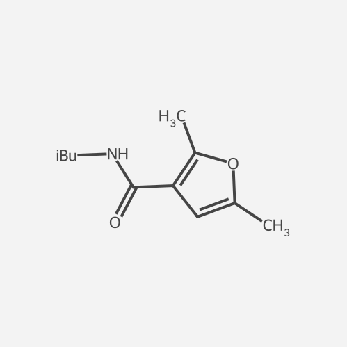 CCC(C)NC(=O)c1cc(C)oc1C